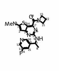 CNc1cc2nc(NC(C)c3cncc(F)c3)nc(C(=O)N3CCC3)c2s1